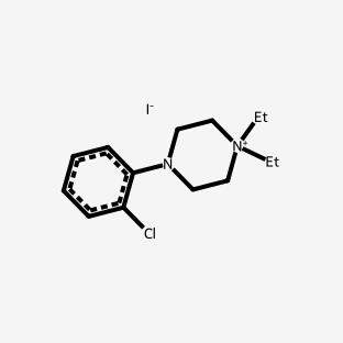 CC[N+]1(CC)CCN(c2ccccc2Cl)CC1.[I-]